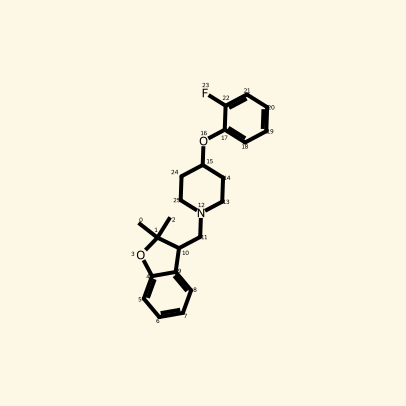 CC1(C)Oc2ccccc2C1CN1CCC(Oc2ccccc2F)CC1